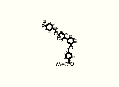 COC(=O)c1ccc(COc2cccc(-c3ccc(OCC4CCC(F)(F)CC4)nc3)c2)cc1